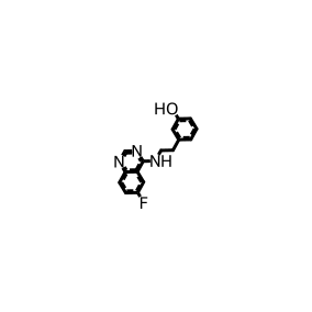 Oc1cccc(CCNc2ncnc3ccc(F)cc23)c1